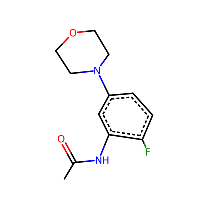 CC(=O)Nc1cc(N2CCOCC2)ccc1F